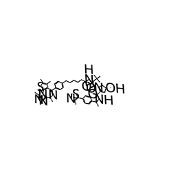 Cc1ncsc1-c1ccc([C@H](C)NC(=O)[C@@H]2C[C@@H](O)CN2C(=O)[C@@H](NC(=O)CCCCCc2ccc(C3=N[C@@H](C)c4nnc(C)n4-c4sc(C)c(C)c43)cc2)C(C)(C)C)cc1